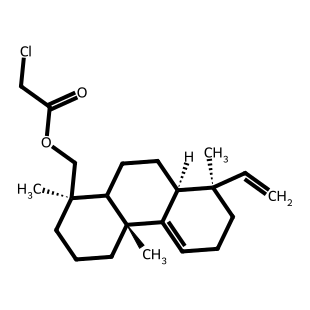 C=C[C@@]1(C)CCC=C2[C@H]1CCC1[C@](C)(COC(=O)CCl)CCC[C@@]21C